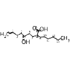 C=CCC[C@@H](O)CC[C@H](CCCCCC)C(=O)O